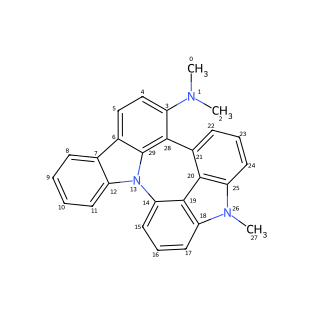 CN(C)c1ccc2c3ccccc3n3c4cccc5c4c4c(cccc4n5C)c1c23